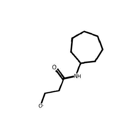 [O]CCC(=O)NC1CCCCCC1